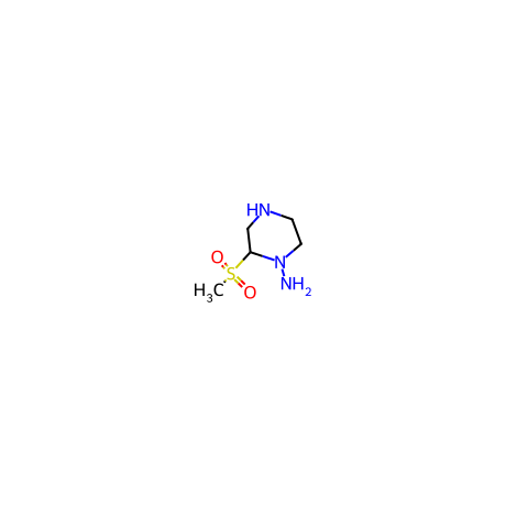 CS(=O)(=O)C1CNCCN1N